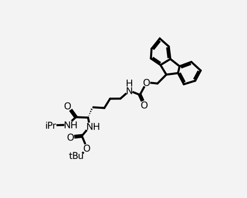 CC(C)NC(=O)[C@H](CCCCNC(=O)OCC1c2ccccc2-c2ccccc21)NC(=O)OC(C)(C)C